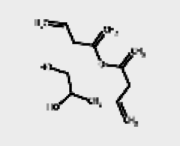 C=CCC(=C)OC(=C)CC=C.CC(O)CO